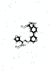 CN[C@H](COc1cncc(-c2ccc3[nH]nc(C)c3c2)c1)c1ccoc1